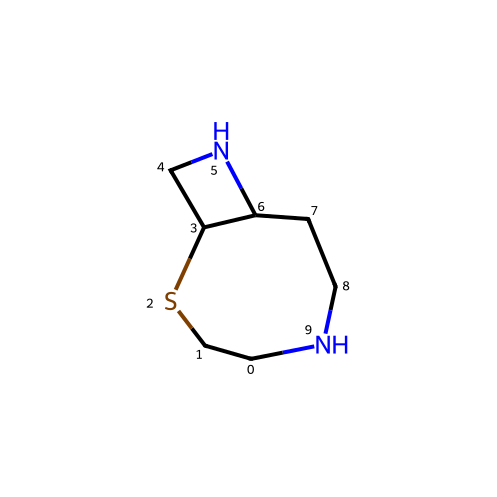 C1CSC2CNC2CCN1